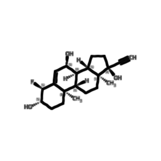 C#C[C@@]1(O)CC[C@H]2[C@@H]3[C@H](O)C=C4[C@H](F)[C@@H](O)CC[C@]4(C)[C@H]3CC[C@@]21C